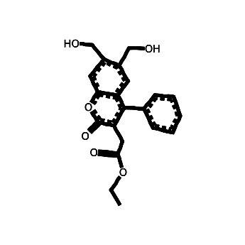 CCOC(=O)Cc1c(-c2ccccc2)c2cc(CO)c(CO)cc2oc1=O